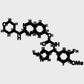 COc1ccc([C@H](NC(=O)Oc2ccc3cnc(NC4CCOCC4)nc3c2)c2cnn(C)c2)cc1F